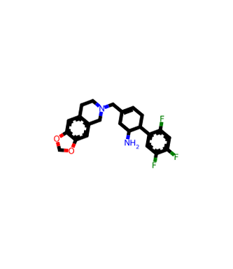 NC1CC(CN2CCc3cc4c(cc3C2)OCO4)=CCC1c1cc(F)c(F)cc1F